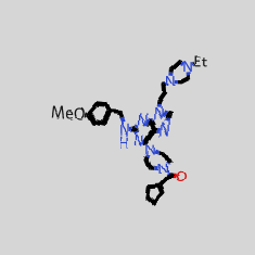 CCN1CCN(CCCn2cnc3c(N4CCN(C(=O)C5CCCC5)CC4)nc(NCc4ccc(OC)cc4)nc32)CC1